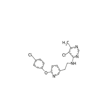 Cc1ncnc(NCCc2ccc(Oc3ccc(Cl)cc3)nc2)c1Cl